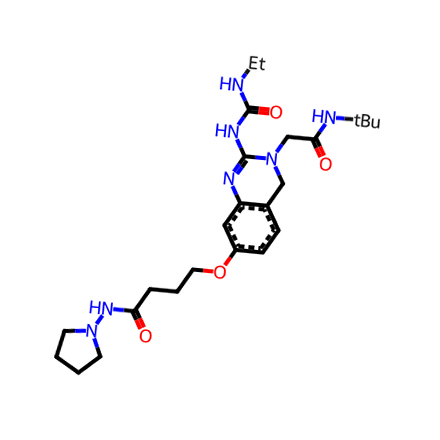 CCNC(=O)NC1=Nc2cc(OCCCC(=O)NN3CCCC3)ccc2CN1CC(=O)NC(C)(C)C